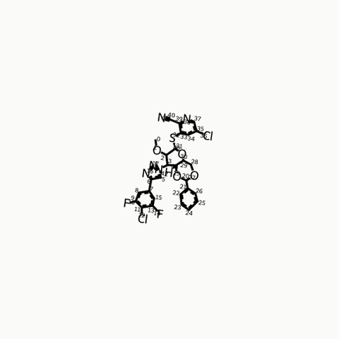 COC1C(n2cc(-c3cc(F)c(Cl)c(F)c3)nn2)[C@H]2OC(c3ccccc3)OCC2O[C@@H]1Sc1cc(Cl)cnc1C#N